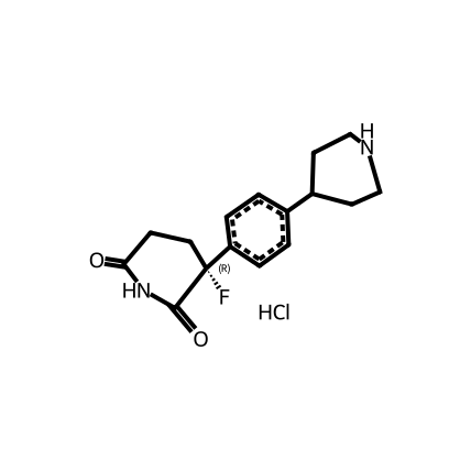 Cl.O=C1CC[C@@](F)(c2ccc(C3CCNCC3)cc2)C(=O)N1